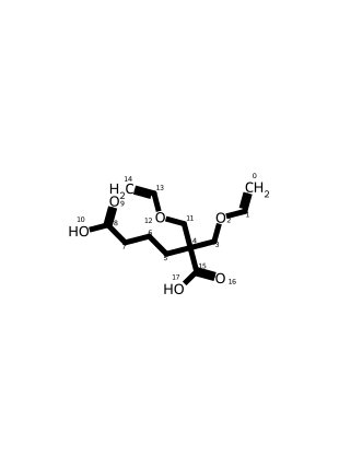 C=COCC(CCCC(=O)O)(COC=C)C(=O)O